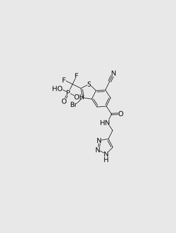 N#Cc1cc(C(=O)NCc2c[nH]nn2)cc2c(Br)c(C(F)(F)P(=O)(O)O)sc12